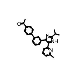 CC(=O)c1ccc(-c2cccc(-c3nc(C(C)C)[nH]c3-c3cccc(C)n3)c2)cc1